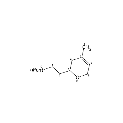 CCCCCCCC1CC(C)=CCO1